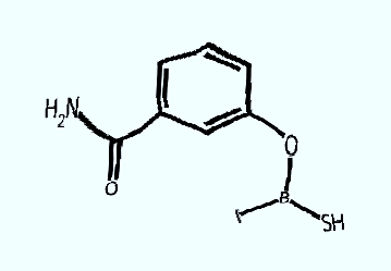 NC(=O)c1cccc(OB(S)I)c1